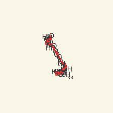 Cc1cccc(C)c1Nc1nn(C)c2nc(Nc3ccc4c(c3)CN(C(=O)COCCOCCOCCOCCNC(=O)C3CCN(c5cccc6c5C(=O)N(C5CCC(=O)NC5=O)C6=O)CC3)CC4)ncc12